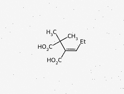 CCC=C(C(=O)O)C(C)(C)C(=O)O